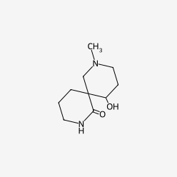 CN1CCC(O)C2(CCCNC2=O)C1